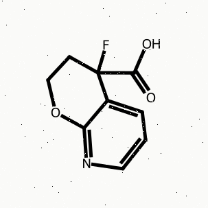 O=C(O)C1(F)CCOc2ncccc21